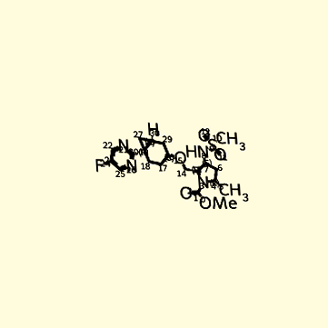 COC(=O)N1[C@H](C)C[C@H](NS(C)(=O)=O)[C@@H]1CO[C@H]1CC[C@@]2(c3ncc(F)cn3)C[C@H]2C1